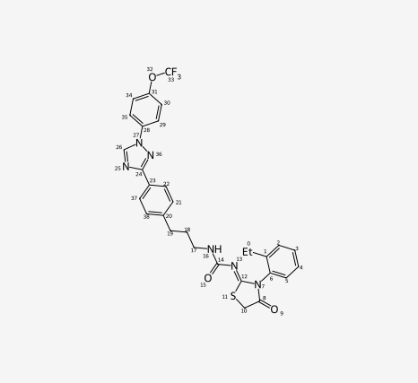 CCc1ccccc1N1C(=O)CSC1=NC(=O)NCCCc1ccc(-c2ncn(-c3ccc(OC(F)(F)F)cc3)n2)cc1